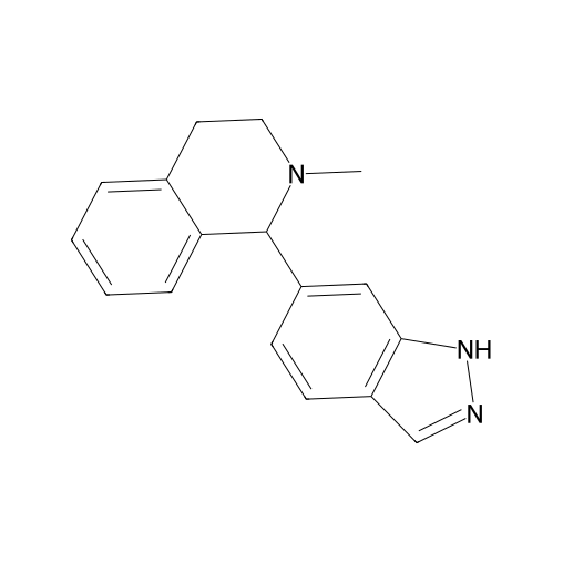 CN1CCc2ccccc2C1c1ccc2cn[nH]c2c1